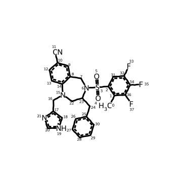 Cc1c(S(=O)(=O)N2Cc3cc(C#N)ccc3N(Cc3c[nH]cn3)CC2Cc2ccccc2)cc(F)c(F)c1F